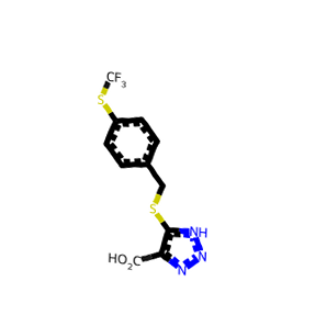 O=C(O)c1nn[nH]c1SCc1ccc(SC(F)(F)F)cc1